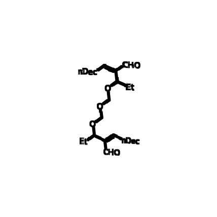 CCCCCCCCCCC=C(C=O)C(CC)OCOCOC(CC)C(C=O)=CCCCCCCCCCC